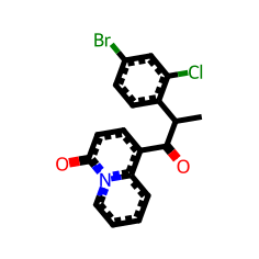 CC(C(=O)c1ccc(=O)n2ccccc12)c1ccc(Br)cc1Cl